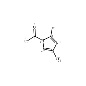 CCC(=O)n1nc(C(F)(F)F)nc1C